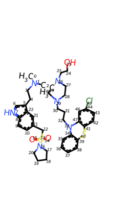 CN(C)CCc1c[nH]c2ccc(CS(=O)(=O)N3CCCC3)cc12.OCCN1CCN(CCCN2c3ccccc3Sc3ccc(Cl)cc32)CC1